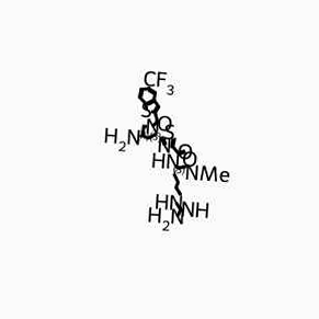 CNC(=O)[C@H](CCCCNC(=N)N)NC(=O)c1csc([C@@H]2C[C@@H](N)CN2C(=O)c2cc3cc(C(F)(F)F)ccc3s2)n1